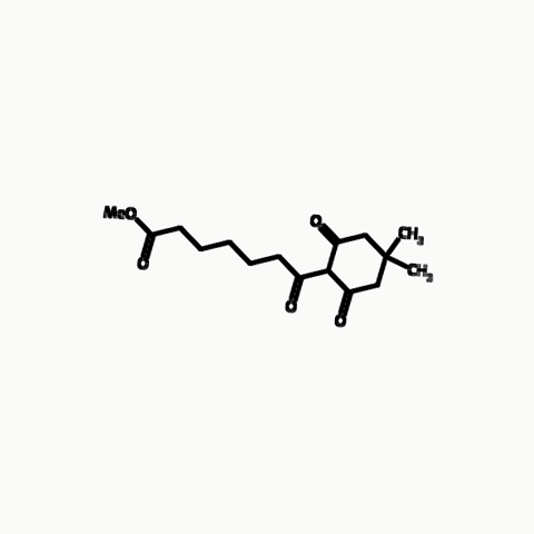 COC(=O)CCCCCC(=O)C1C(=O)CC(C)(C)CC1=O